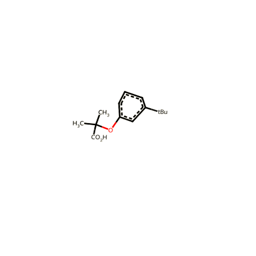 CC(C)(Oc1cccc(C(C)(C)C)c1)C(=O)O